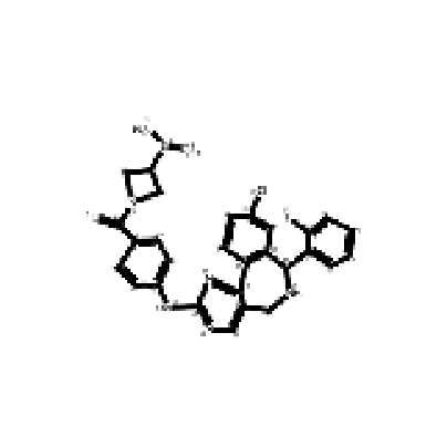 CN(C)C1CN(C(=O)c2ccc(Nc3ncc4c(n3)-c3ccc(Cl)cc3C(c3ccccc3F)NC4)cc2)C1